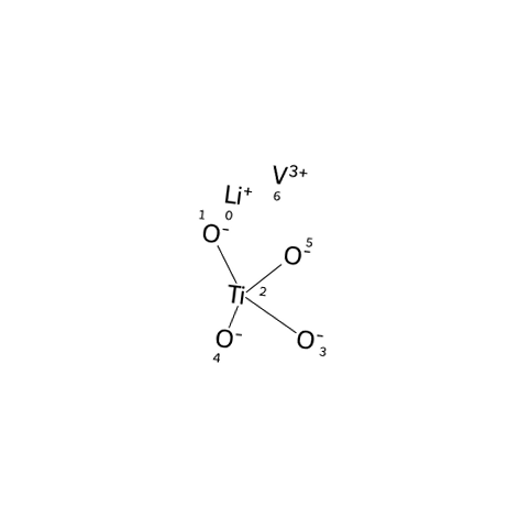 [Li+].[O-][Ti]([O-])([O-])[O-].[V+3]